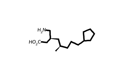 C[C@H](CCCC1CCCC1)C[C@H](CN)CC(=O)O